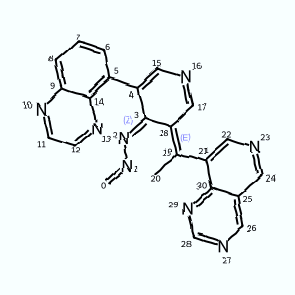 C=N/N=C1/C(c2cccc3nccnc23)=CN=C/C1=C(/C)c1cncc2cncnc12